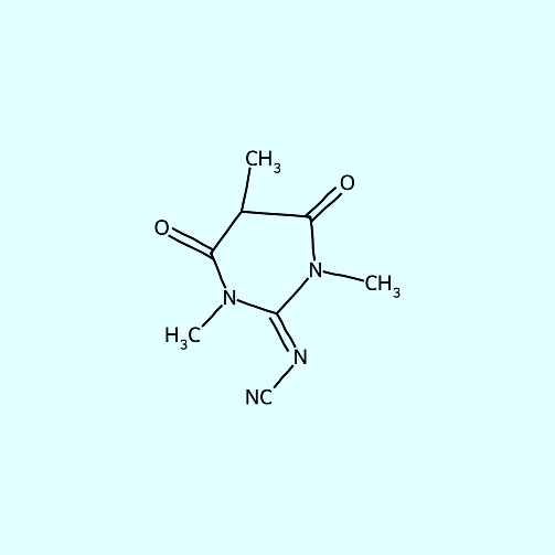 CC1C(=O)N(C)C(=NC#N)N(C)C1=O